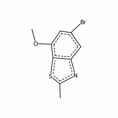 COc1cc(Br)cc2nc(C)sc12